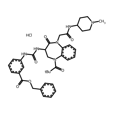 CN1CCC(NC(=O)CN2C(=O)C(NC(=O)Nc3cccc(C(=O)OCc4ccccc4)c3)CN(C(=O)C(C)(C)C)c3ccccc32)CC1.Cl